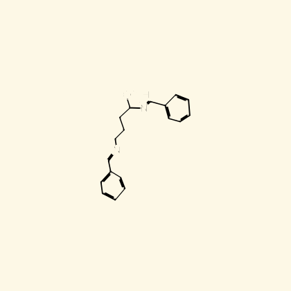 O=C(O)C(CCCN=Cc1ccccc1)N=Cc1ccccc1